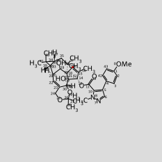 COc1ccc(-c2cnn(C)c2C(=O)O[C@H]2C(C)=C[C@]34C(O)[C@@H](C=C5COC(C)(C)O[C@H]5[C@]23O)[C@H]2[C@@H](CC4(C)C)C2(C)C)cc1